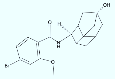 COc1cc(Br)ccc1C(=O)N[C@H]1C2CC3CC1C[C@](O)(C3)C2